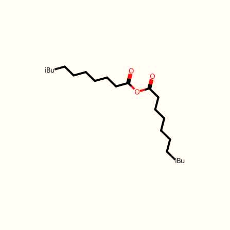 CCC(C)CCCCCCC(=O)OC(=O)CCCCCCC(C)CC